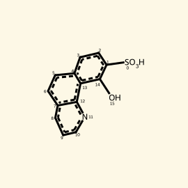 O=S(=O)(O)c1ccc2ccc3cccnc3c2c1O